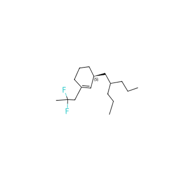 CCCC(CCC)C[C@H]1C=C(CC(C)(F)F)CCC1